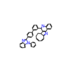 C1=C\CCC2C(=Nc3c2c(-c2cccc(-c4ccc(-c5nc6ccccc6n5-c5ccccc5)cc4)c2)nc2ccccc32)\C=C/1